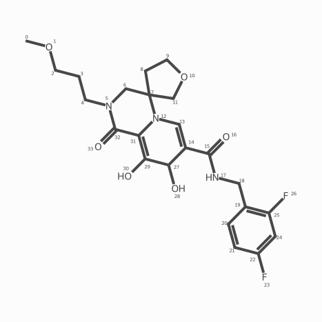 COCCCN1CC2(CCOC2)N2C=C(C(=O)NCc3ccc(F)cc3F)C(O)C(O)=C2C1=O